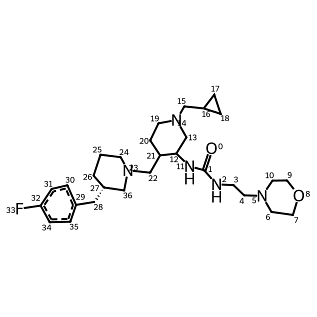 O=C(NCCN1CCOCC1)NC1CN(CC2CC2)CCC1CN1CCC[C@@H](Cc2ccc(F)cc2)C1